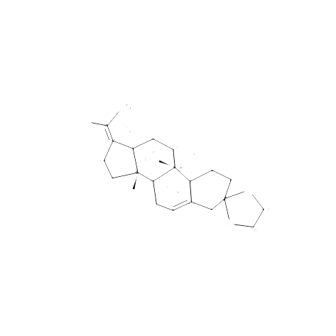 CCOC(=O)/C(C#N)=C1\CC[C@H]2[C@@H]3CC=C4CC5(CC[C@]4(C)[C@@]3(O)CC[C@]12C)OCCO5